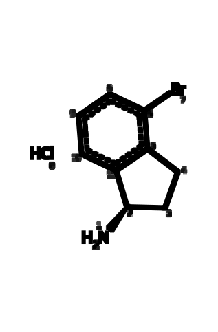 Cl.N[C@@H]1CCc2c(Br)cccc21